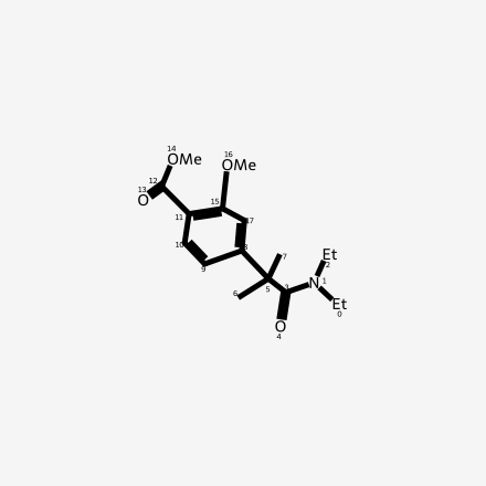 CCN(CC)C(=O)C(C)(C)c1ccc(C(=O)OC)c(OC)c1